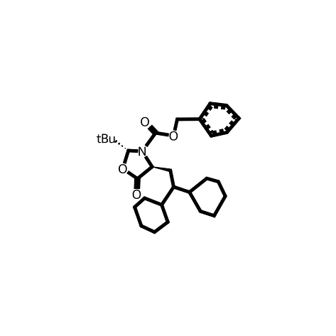 CC(C)(C)[C@H]1OC(=O)[C@H](CC(C2CCCCC2)C2CCCCC2)N1C(=O)OCc1ccccc1